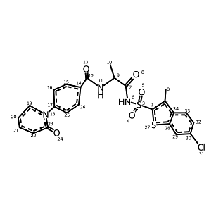 Cc1c(S(=O)(=O)NC(=O)C(C)NC(=O)c2ccc(-n3ccccc3=O)cc2)sc2cc(Cl)ccc12